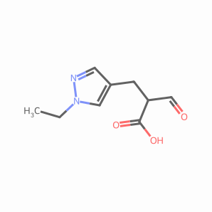 CCn1cc(CC(C=O)C(=O)O)cn1